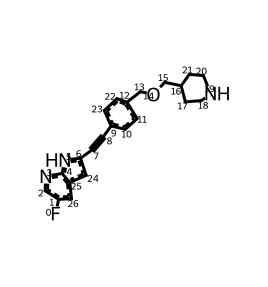 Fc1cnc2[nH]c(C#Cc3ccc(COCC4CCNCC4)cc3)cc2c1